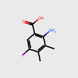 Cc1c(I)cc(C(=O)O)c(N)c1C